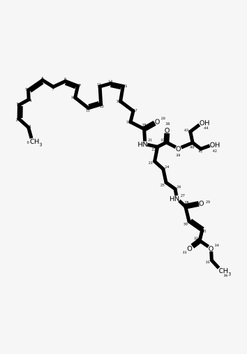 CC/C=C\C/C=C\C/C=C\C/C=C\C/C=C\CCCC(=O)NC(CCCCNC(=O)/C=C/C(=O)OCC)C(=O)OC(CO)CO